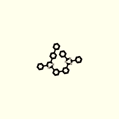 c1ccc(-c2ccc(-c3cc(-c4ccccc4)nc(-c4cccc(-c5cccc(-c6nc(-c7ccccc7)nc(-c7ccccc7)n6)c5)c4)n3)cc2)cc1